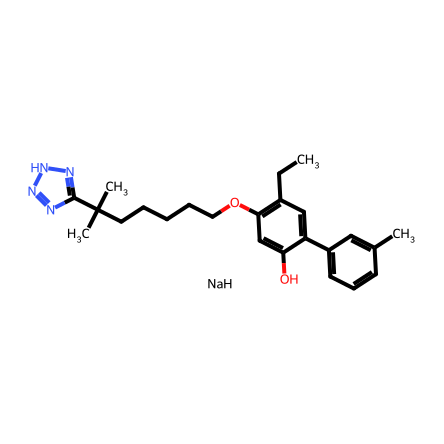 CCc1cc(-c2cccc(C)c2)c(O)cc1OCCCCCC(C)(C)c1nn[nH]n1.[NaH]